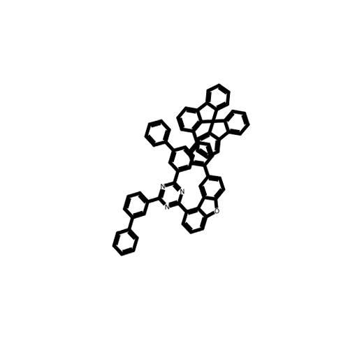 c1ccc(-c2cccc(-c3nc(-c4cccc(-c5ccccc5)c4)nc(-c4cccc5oc6ccc(-c7ccc(-c8cccc9c8C8(c%10ccccc%10-c%10ccccc%108)c8ccccc8-9)cc7)cc6c45)n3)c2)cc1